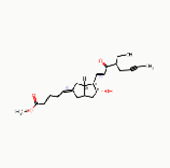 CC#CCC(CC)C(=O)/C=C/[C@H]1[C@H](O)CC2C/C(=C\CCCC(=O)OC)C[C@@H]21